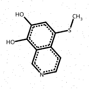 CSc1cc(O)c(O)c2cnccc12